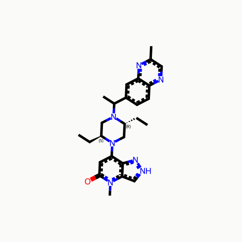 CC[C@H]1CN(C(C)c2ccc3ncc(C)nc3c2)[C@H](CC)CN1c1cc(=O)n(C)c2c[nH]nc12